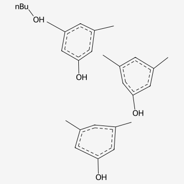 CCCCO.Cc1cc(C)cc(O)c1.Cc1cc(C)cc(O)c1.Cc1cc(C)cc(O)c1